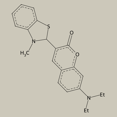 CCN(CC)c1ccc2cc(C3Sc4ccccc4N3C)c(=O)oc2c1